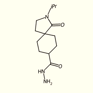 CC(C)N1CCC2(CCC(C(=O)NN)CC2)C1=O